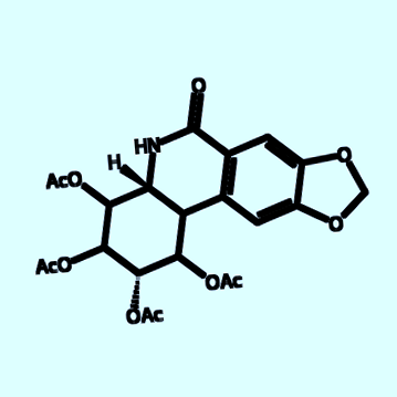 CC(=O)OC1C(OC(C)=O)[C@@H](OC(C)=O)C(OC(C)=O)C2c3cc4c(cc3C(=O)N[C@@H]12)OCO4